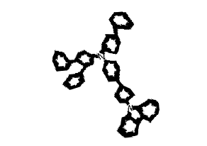 c1ccc(-c2ccc(N(c3ccc(-c4ccc(-n5c6ccccc6c6ccccc65)cc4)cc3)c3ccc(-c4ccccc4)c(-c4ccccc4)c3)cc2)cc1